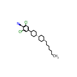 CCCCCCC[C@H]1CC[C@H](C2CCC(c3cc(Cl)c(C#N)c(Cl)c3)CC2)CC1